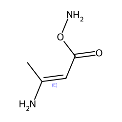 C/C(N)=C\C(=O)ON